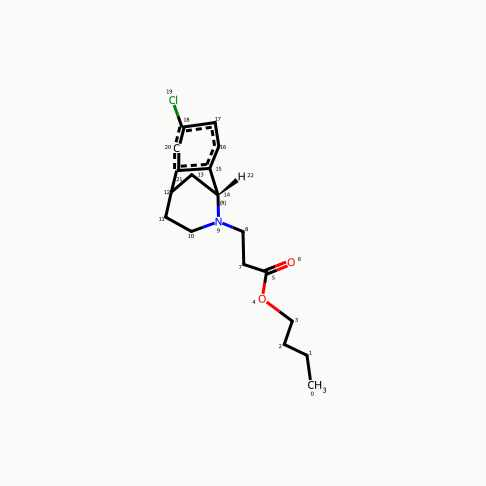 CCCCOC(=O)CCN1CCC2C[C@@H]1c1ccc(Cl)cc12